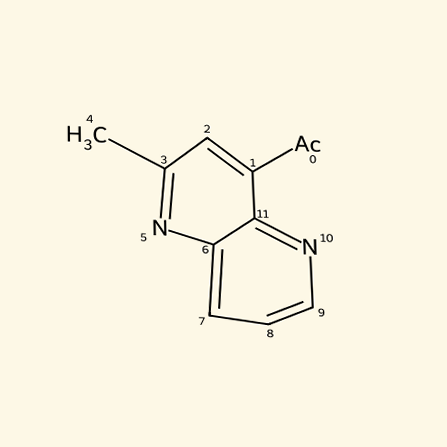 CC(=O)c1cc(C)nc2cccnc12